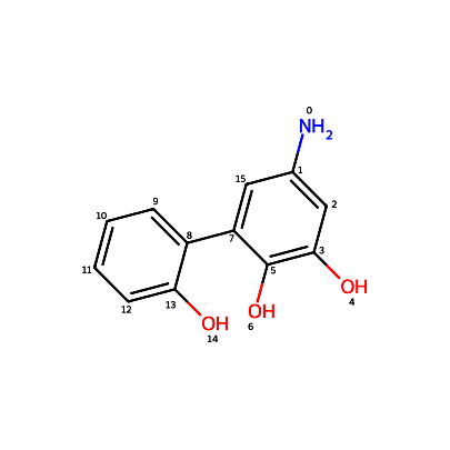 Nc1cc(O)c(O)c(-c2ccccc2O)c1